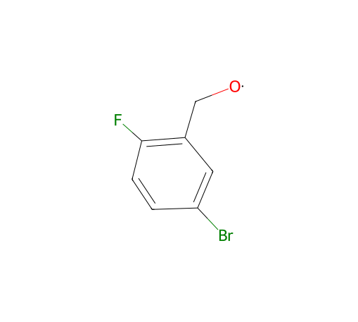 [O]Cc1cc(Br)ccc1F